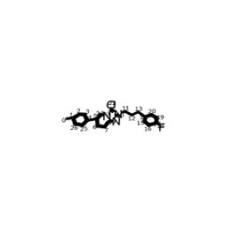 Cc1ccc(-c2ccc3nn(CCCc4ccc(F)cc4)c(=O)n3c2)cc1